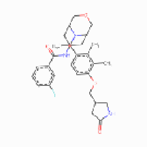 Cc1c(OCC2CNC(=O)C2)ccc(C(C)N2C3COCC2CC(NC(=O)c2cccc(F)c2)C3)c1C